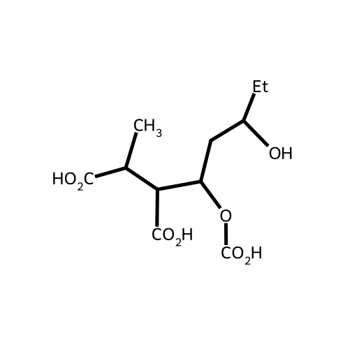 CCC(O)CC(OC(=O)O)C(C(=O)O)C(C)C(=O)O